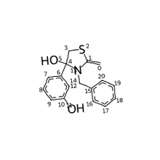 C=C1SCC(O)(c2cccc(O)c2)N1Cc1ccccc1